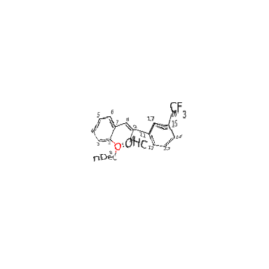 CCCCCCCCCCOc1ccccc1/C=C(\C=O)c1cccc(C(F)(F)F)c1